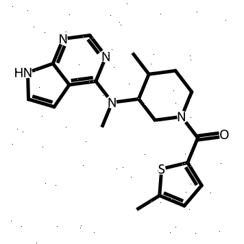 Cc1ccc(C(=O)N2CCC(C)C(N(C)c3ncnc4[nH]ccc34)C2)s1